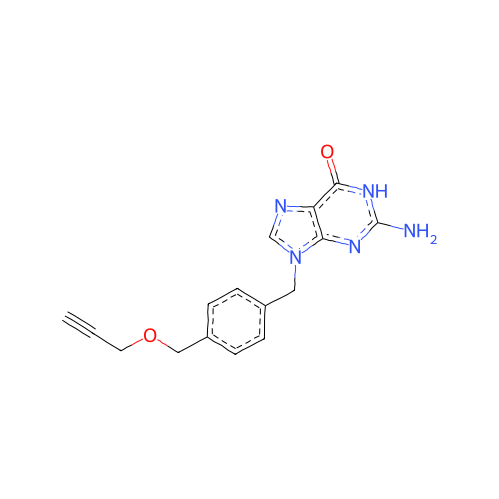 C#CCOCc1ccc(Cn2cnc3c(=O)[nH]c(N)nc32)cc1